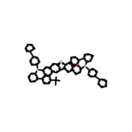 CC(C)(C)c1ccc(-c2ccccc2N(c2ccc(-c3ccccc3)cc2)c2ccc3cc4c(cc3c2)oc2cc3cc(N(c5ccc(-c6ccccc6)cc5)c5ccccc5-c5ccccc5)ccc3cc24)cc1